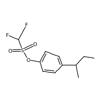 CCC(C)c1ccc(OS(=O)(=O)C(F)F)cc1